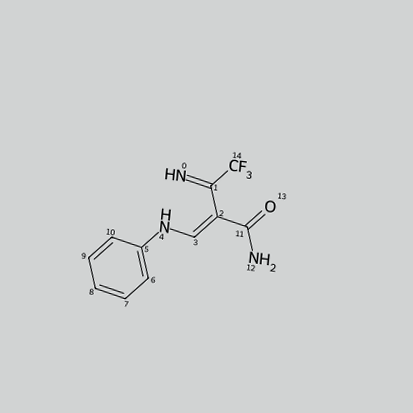 N=C(/C(=C\Nc1ccccc1)C(N)=O)C(F)(F)F